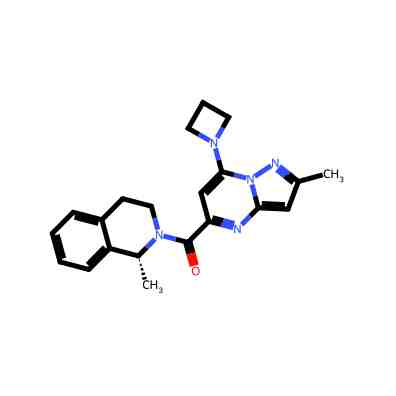 Cc1cc2nc(C(=O)N3CCc4ccccc4[C@H]3C)cc(N3CCC3)n2n1